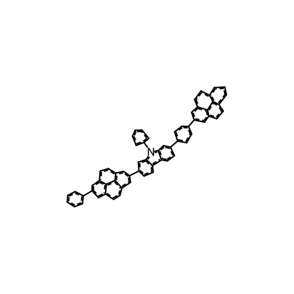 c1ccc(-c2cc3ccc4cc(-c5ccc6c7ccc(-c8ccc(-c9cc%10ccc%11cccc%12ccc(c9)c%10c%11%12)cc8)cc7n(-c7ccccc7)c6c5)cc5ccc(c2)c3c45)cc1